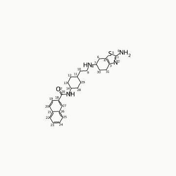 Nc1nc2c(s1)CC(NCCC1CCC(NC(=O)c3ccc4ccccc4c3)CC1)CC2